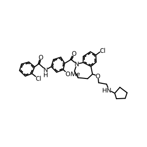 COc1cc(NC(=O)c2ccccc2Cl)ccc1C(=O)N1CCCC(OCCNC2CCCC2)c2cc(Cl)ccc21